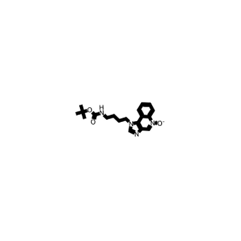 CC(C)(C)OC(=O)NCCCCn1cnc2c[n+]([O-])c3ccccc3c21